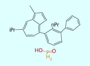 CCCc1c(-c2ccccc2)cccc1-c1ccc(C(C)C)cc2c(C)ccc1-2.O=[PH2]O